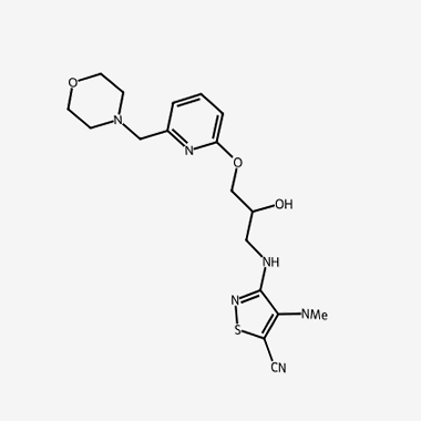 CNc1c(NCC(O)COc2cccc(CN3CCOCC3)n2)nsc1C#N